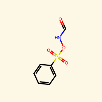 O=CNOS(=O)(=O)c1ccccc1